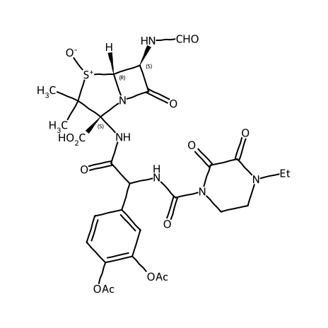 CCN1CCN(C(=O)NC(C(=O)N[C@@]2(C(=O)O)N3C(=O)[C@H](NC=O)[C@H]3[S+]([O-])C2(C)C)c2ccc(OC(C)=O)c(OC(C)=O)c2)C(=O)C1=O